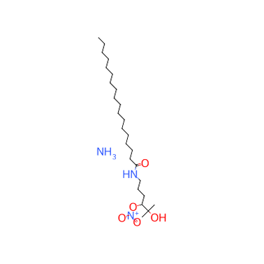 CCCCCCCCCCCCCCCCCC(=O)NCCCC(O[N+](=O)[O-])C(C)(C)O.N